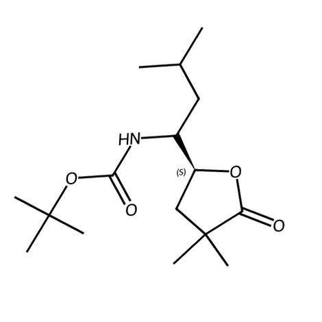 CC(C)CC(NC(=O)OC(C)(C)C)[C@@H]1CC(C)(C)C(=O)O1